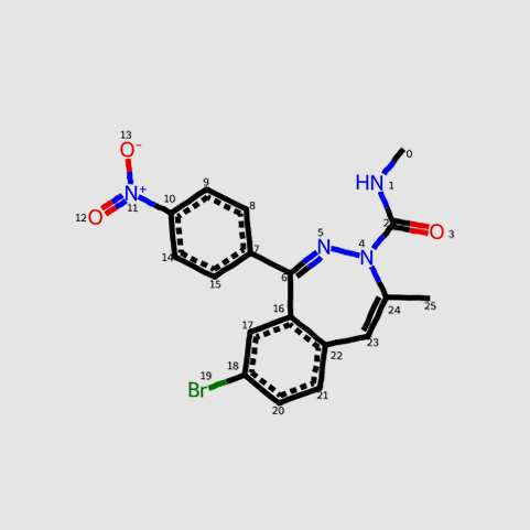 CNC(=O)N1N=C(c2ccc([N+](=O)[O-])cc2)c2cc(Br)ccc2C=C1C